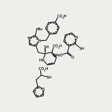 CCCCc1ncc(C[C@@]2(S)NC=CC=C2C(=O)O)n1Cc1ccc(C(=O)O)cc1.COC(=O)c1cccnc1S.O=C(O)C(S)Cc1cccs1